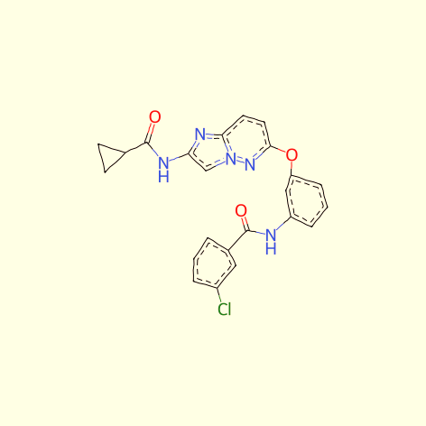 O=C(Nc1cccc(Oc2ccc3nc(NC(=O)C4CC4)cn3n2)c1)c1cccc(Cl)c1